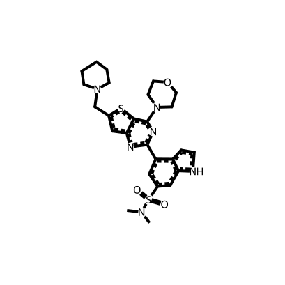 CN(C)S(=O)(=O)c1cc(-c2nc(N3CCOCC3)c3sc(CN4CCCCC4)cc3n2)c2cc[nH]c2c1